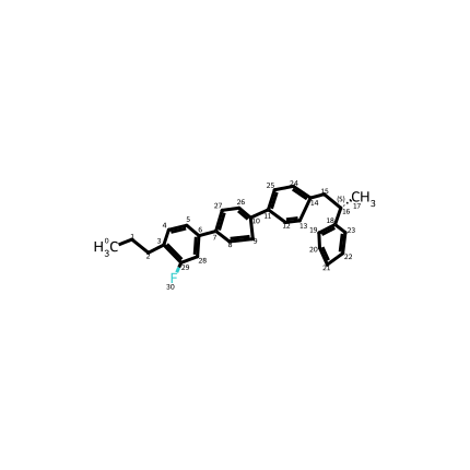 CCCc1ccc(-c2ccc(-c3ccc(C[C@H](C)c4ccccc4)cc3)cc2)cc1F